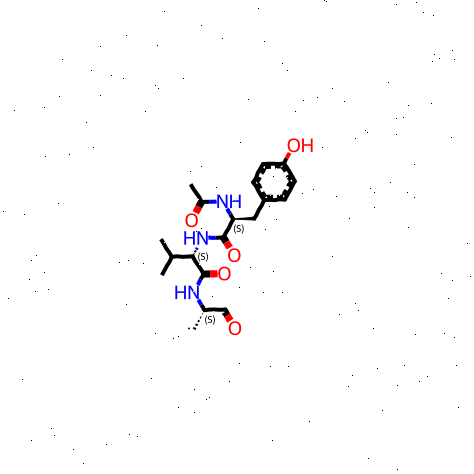 [CH2][C@@H](C=O)NC(=O)[C@@H](NC(=O)[C@H](Cc1ccc(O)cc1)NC(C)=O)C(C)C